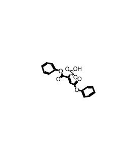 O=C(/C=C(/C(=O)Oc1ccccc1)S(=O)(=O)O)Oc1ccccc1